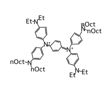 CCCCCCCCN(CCCCCCCC)c1ccc([N+](=C2C=CC(=[N+](c3ccc(N(CC)CC)cc3)c3ccc(N(CCCCCCCC)CCCCCCCC)cc3)C=C2)c2ccc(N(CC)CC)cc2)cc1